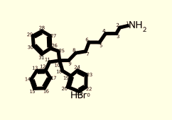 Br.NCCCCCCCCC(Cc1ccccc1)(Cc1ccccc1)Cc1ccccc1